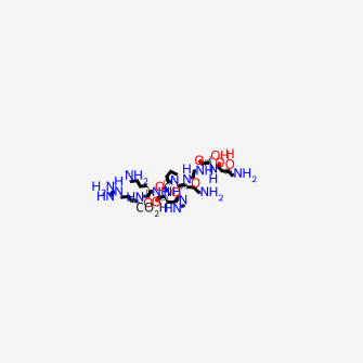 N=C(N)NCC/C=C(\NC(=O)[C@H](CCCCN)NC(=O)[C@H](Cc1cnc[nH]1)NC(=O)[C@@H]1CCCN1C(=O)[C@@H](CCCN)NC(=O)CNC(=O)[C@H](CO)NC(=O)C[C@@H](O)CN)C(=O)O